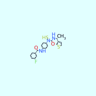 CC(NC(=O)N(S)c1ccc(NC(=O)c2cccc(F)c2)cc1)c1ccsc1